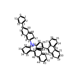 c1ccc(-c2ccc3cc(N(c4ccc(-c5cc6ccccc6c6ccccc56)cc4)c4ccccc4-c4ccc5ccccc5c4)ccc3c2)cc1